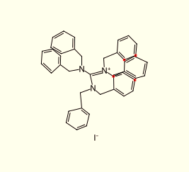 [I-].c1ccc(CN(Cc2ccccc2)C(N(Cc2ccccc2)Cc2ccccc2)=[N+](Cc2ccccc2)Cc2ccccc2)cc1